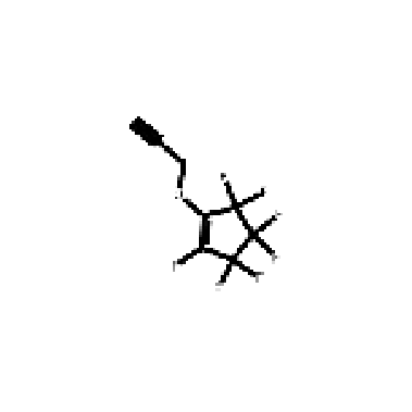 C#CCOC1=C(F)C(F)(F)C(F)(F)C1(F)F